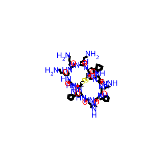 C[C@@H]1NC(=O)[C@@H]2CSS[C@H](NC(=O)[C@H](Cc3c[nH]c4ccccc34)NC(=O)[C@H](CCCCN)NC(=O)[C@H](CCCCN)NC(=O)[C@H](CCCCN)NC1=O)C(=O)N1CCC[C@@H]1C(=O)N[C@@H](Cc1c[nH]cn1)C(=O)N[C@H](Cc1ccccc1)C(=O)N[C@@H](Cc1c[nH]cn1)C(=O)N[C@@H](Cc1c[nH]c3ccccc13)C(=O)N2